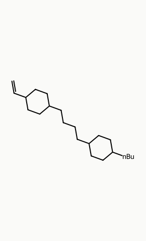 C=CC1CCC(CCCCC2CCC(CCCC)CC2)CC1